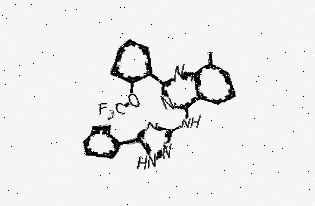 Cc1cccc2c(Nc3n[nH]c(-c4ccccc4)n3)nc(-c3ccccc3OC(F)(F)F)nc12